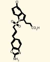 Nc1nc2ccc(C=CCS(=O)(=O)n3c(CCC(=O)O)cc4cc(Cl)ccc43)cc2o1